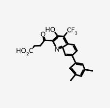 Cc1cc(C)cc(-c2ccc3c(C(F)(F)F)c(O)c(C(=O)CCC(=O)O)nc3c2)c1